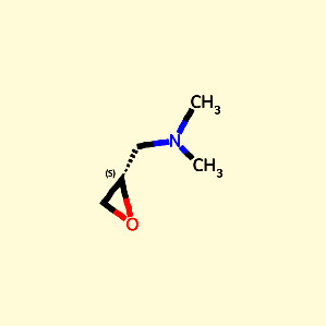 CN(C)C[C@H]1CO1